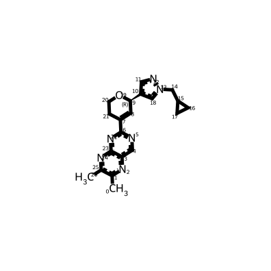 Cc1nc2cnc(C3=C[C@H](c4cnn(CC5CC5)c4)OCC3)nc2nc1C